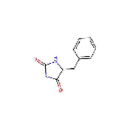 O=C1[N]C(=O)C(Cc2ccccc2)N1